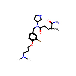 C[C@@H](C[CH]C(=O)N(Cc1ccc(OCCCN(C)C)c(Br)c1)[C@H]1CCNC1)C(N)=O